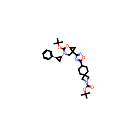 CC(C)(C)OC(=O)N1CC2(CCC(c3nc(C4(CN(C(=O)OC(C)(C)C)[C@@H]5C[C@H]5c5ccccc5)CC4)no3)CC2)C1